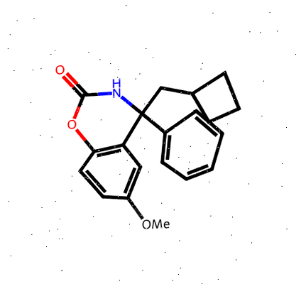 COc1ccc2c(c1)C(CC1CCC1)(c1ccccc1)NC(=O)O2